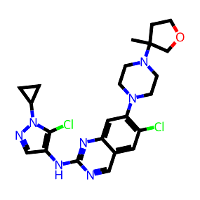 CC1(N2CCN(c3cc4nc(Nc5cnn(C6CC6)c5Cl)ncc4cc3Cl)CC2)CCOC1